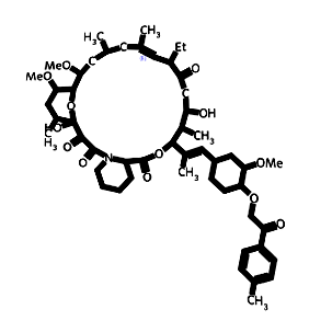 CCC1/C=C(\C)CC(C)CC(OC)C2OC(O)(C(=O)C(=O)N3CCCCC3C(=O)OC(C(C)=CC3CCC(OCC(=O)c4ccc(C)cc4)C(OC)C3)C(C)C(O)CC1=O)C(C)CC2OC